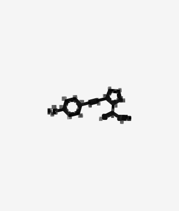 COC(=O)c1sccc1C#Cc1ccc(C(F)(F)F)cc1